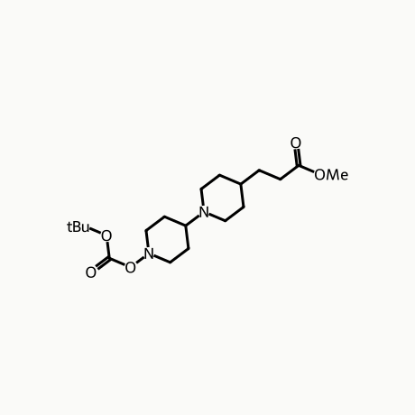 COC(=O)CCC1CCN(C2CCN(OC(=O)OC(C)(C)C)CC2)CC1